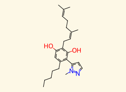 CCCCCc1cc(O)c(CC=C(C)CCC=C(C)C)c(O)c1-c1ccnn1C